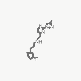 Cc1cn(-c2nccc(CCNCCCc3cccc(F)c3)n2)cn1